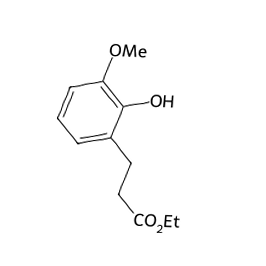 CCOC(=O)CCc1cccc(OC)c1O